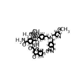 COc1cncc(CN(CCc2ccc(N(C(=O)c3ccc(C(N)=O)cc3NC(=O)c3cc(=O)c4ccccc4o3)S(=O)(=O)N(C)C)cc2)Cc2ccc3c(cnn3C)c2)c1